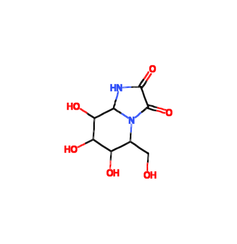 O=C1NC2C(O)C(O)C(O)C(CO)N2C1=O